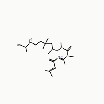 C=C(C=C(C)C)/N=C(\C)P(C)C(=C)P(C)CC(C)CC(C)(C)CCNC(C)C(C)C